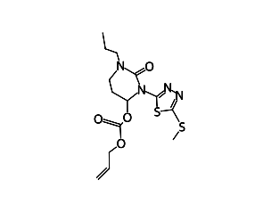 C=CCOC(=O)OC1CCN(CCC)C(=O)N1c1nnc(SC)s1